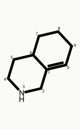 C1=C2CNCCC2CCC1